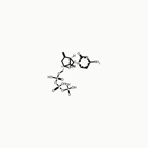 C=C1C[C@]2(COP(=O)(O)OP(=O)(O)OP(=O)(O)O)O[C@@H](n3ccc(N)nc3=O)[C@H]1[C@@H]2O